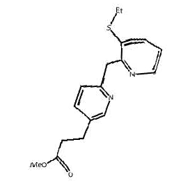 CCSc1cccnc1Cc1ccc(CCC(=O)OC)cn1